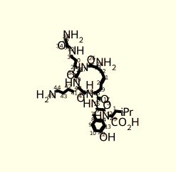 CC(C)C[C@H](NC(=O)[C@H](Cc1ccc(O)cc1)NC(=O)[C@@H]1C/C=C/C[C@H](N)C(=O)N[C@@H](CCCNC2OC2N)C(=O)N[C@@H](CCCCN)C(=O)N1)C(=O)O